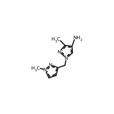 Cc1nn(Cc2ccn(C)n2)cc1N